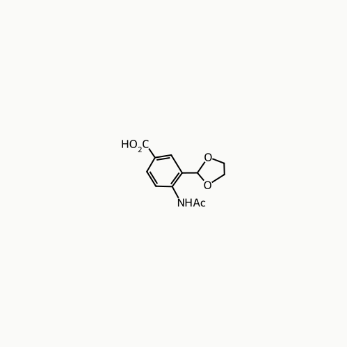 CC(=O)Nc1ccc(C(=O)O)cc1C1OCCO1